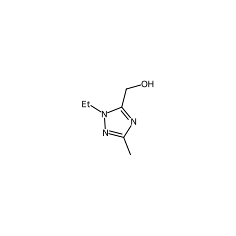 CCn1nc(C)nc1CO